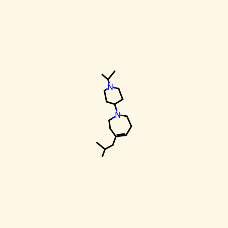 CC(C)CC1=CCCN(C2CCN(C(C)C)CC2)CC1